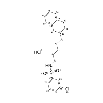 Cl.O=S(=O)(NCCCCCN1CCc2ccccc2C1)c1cccc(Cl)c1